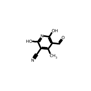 Cc1c(C#N)c(O)nc(O)c1C=O